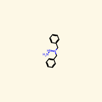 NNN(Cc1ccccc1)Cc1ccccc1